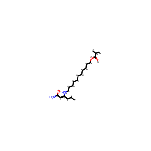 CCC/C(=C/C(N)O)NCCCCCCCCCCCOC(=O)C(C)C